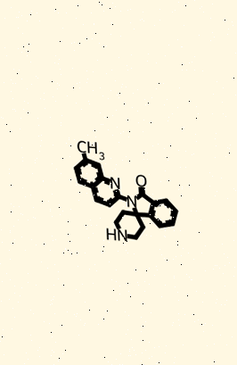 Cc1ccc2ccc(N3C(=O)c4ccccc4C34CCNCC4)nc2c1